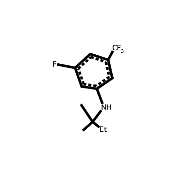 CCC(C)(C)Nc1cc(F)cc(C(F)(F)F)c1